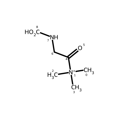 C[N+](C)(C)C(=O)CNC(=O)O